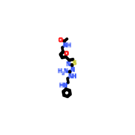 CC(=O)NCc1ccc(-c2csc(/N=C(\N)NCCNc3ccccc3)n2)o1